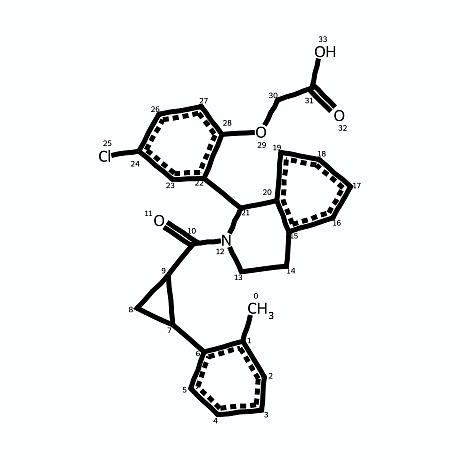 Cc1ccccc1C1CC1C(=O)N1CCc2ccccc2C1c1cc(Cl)ccc1OCC(=O)O